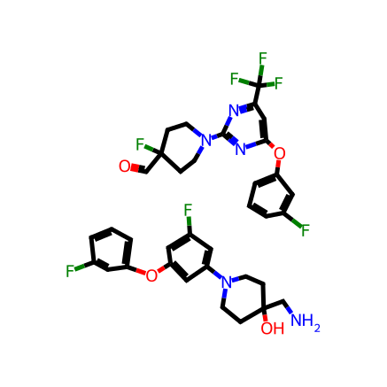 NCC1(O)CCN(c2cc(F)cc(Oc3cccc(F)c3)c2)CC1.O=CC1(F)CCN(c2nc(Oc3cccc(F)c3)cc(C(F)(F)F)n2)CC1